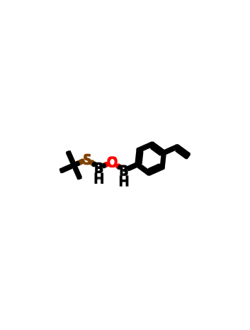 C=Cc1ccc(BOBSC(C)(C)C)cc1